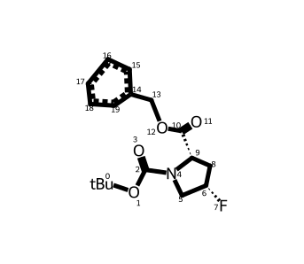 CC(C)(C)OC(=O)N1C[C@@H](F)C[C@H]1C(=O)OCc1ccccc1